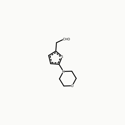 O=CCc1ccc(N2CCOCC2)s1